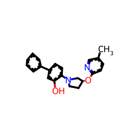 Cc1ccc(O[C@H]2CCN(c3ccc(-c4ccccc4)cc3O)C2)nc1